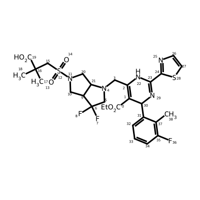 CCOC(=O)C1=C(CN2CC(F)(F)C3CN(S(=O)(=O)CC(C)(C)C(=O)O)CC32)NC(c2nccs2)=NC1c1cccc(F)c1C